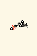 CC1(C)c2ccccc2-c2ccc(-c3ccc(S(=O)(=O)c4ccccc4)cc3)c3cccc1c23